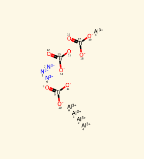 [Al+3].[Al+3].[Al+3].[Al+3].[Al+3].[N-3].[N-3].[N-3].[O]=[Ti]([O-])[O-].[O]=[Ti]([O-])[O-].[O]=[Ti]([O-])[O-]